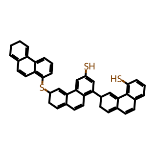 Sc1cc(C2C=c3c(ccc4cccc(S)c34)=CC2)c2ccc3c(c2c1)=CC(Sc1cccc2c4c(ccc12)=CCCC=4)CC=3